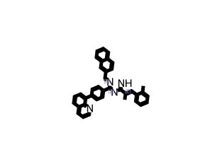 C/C(=C\c1ccccc1C)C(=N)/N=C(\N=C\c1ccc2ccccc2c1)c1ccc(-c2cccc3cccnc23)cc1